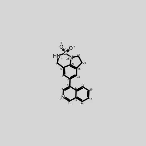 O=S1(=O)NCc2cc(-c3cncc4ccccc34)cc3c2N1CC3